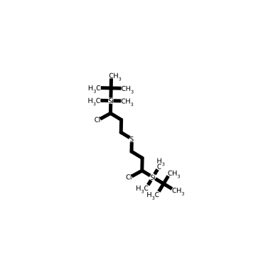 CC(C)(C)[Si](C)(C)C(Cl)CCSCCC(Cl)[Si](C)(C)C(C)(C)C